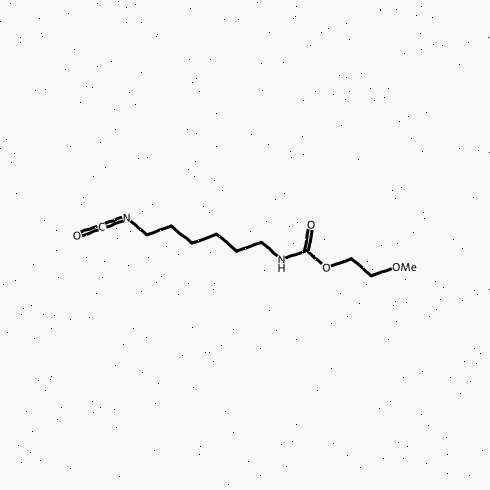 COCCOC(=O)NCCCCCCN=C=O